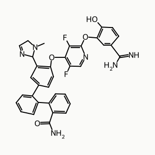 CN1CC=NC1c1cc(-c2ccccc2-c2ccccc2C(N)=O)ccc1Oc1c(F)cnc(Oc2cc(C(=N)N)ccc2O)c1F